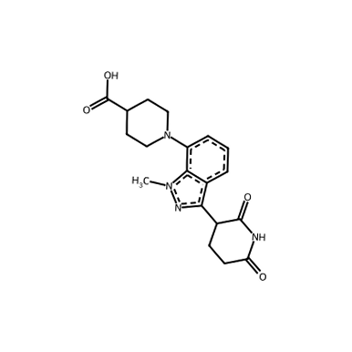 Cn1nc(C2CCC(=O)NC2=O)c2cccc(N3CCC(C(=O)O)CC3)c21